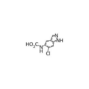 O=C(O)Nc1cc2cn[nH]c2cc1Cl